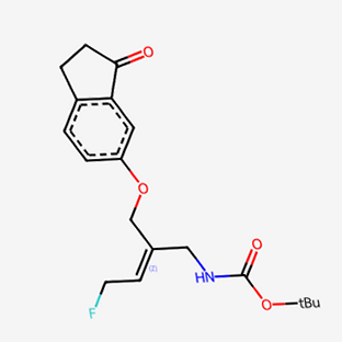 CC(C)(C)OC(=O)NC/C(=C/CF)COc1ccc2c(c1)C(=O)CC2